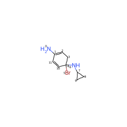 NC1=CCC(Br)(NC2CC2)C=C1